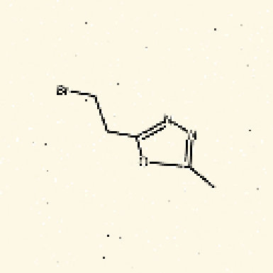 Cc1nnc(CCBr)o1